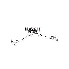 CCCCCCCCCCP(CCCCCCCCCC)(OC)(OC)OC